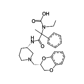 CCN(C(=O)O)C(C)(C(=O)N[C@H]1CCCN(C[C@H]2COc3ccccc3O2)C1)c1ccccc1